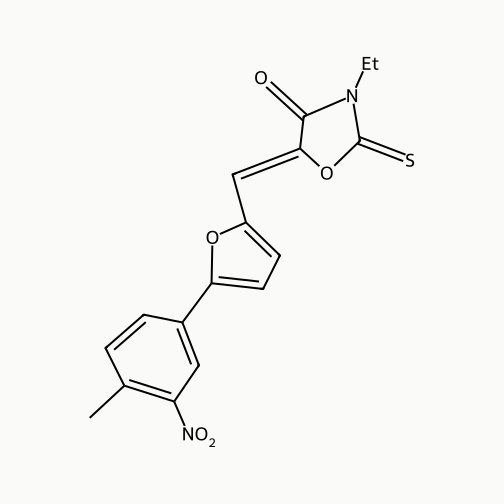 CCN1C(=O)C(=Cc2ccc(-c3ccc(C)c([N+](=O)[O-])c3)o2)OC1=S